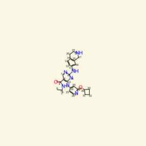 CC(C)n1c(=O)c2cnc(Nc3ccc4c(c3)CNCC4)nc2n1-c1ccnc(OC2CCC2)c1